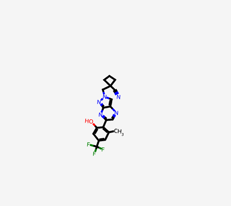 Cc1cc(C(F)(F)F)cc(O)c1-c1cnc2cn(CC3(C#N)CCC3)nc2n1